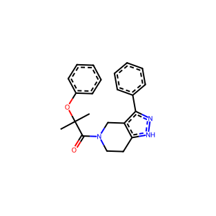 CC(C)(Oc1ccccc1)C(=O)N1CCc2[nH]nc(-c3ccccc3)c2C1